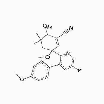 COc1ccc(-c2cc(F)cnc2C2(OC)C=C(C#N)C(O)C(C)(C)C2)cc1